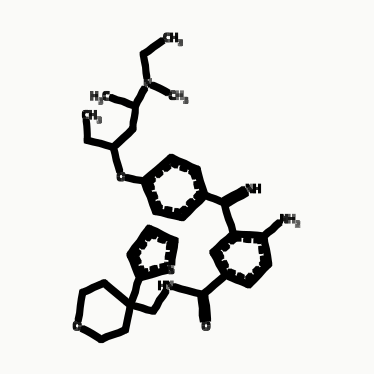 CCC(CC(C)N(C)CC)Oc1ccc(C(=N)c2cc(C(=O)NCC3(c4cccs4)CCOCC3)ccc2N)cc1